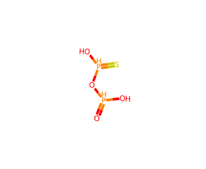 O=[PH](O)O[PH](O)=S